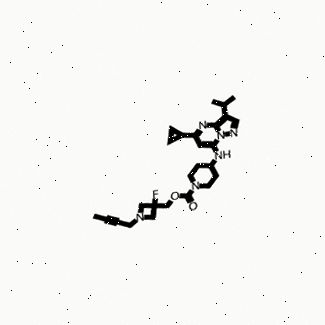 CC#CCN1CC(F)(COC(=O)N2CCC(Nc3cc(C4CC4)nc4c(C(C)C)cnn34)CC2)C1